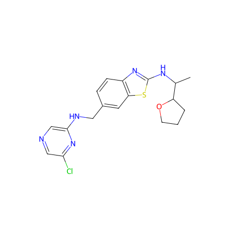 CC(Nc1nc2ccc(CNc3cncc(Cl)n3)cc2s1)C1CCCO1